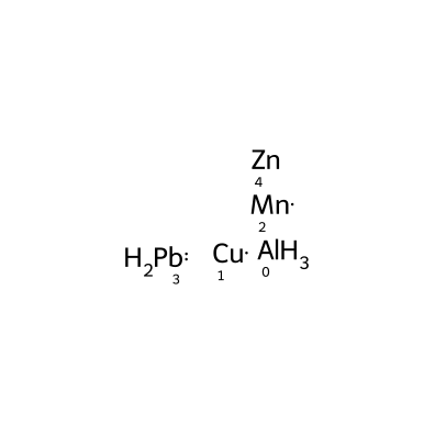 [AlH3].[Cu].[Mn].[PbH2].[Zn]